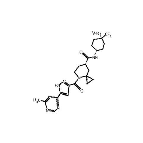 CO[C@]1(C(F)(F)F)CC[C@H](NC(=O)[C@@H]2CCN(C(=O)c3cc(-c4cc(C)ncn4)[nH]n3)C3(CC3)C2)CC1